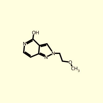 COCCn1cc2c(O)nccc2n1